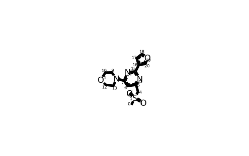 CS(=O)(=O)Cc1cc(N2CCOCC2)nc(-c2ccoc2)n1